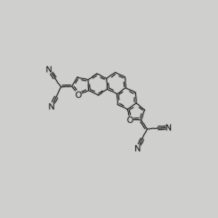 N#CC(C#N)=c1cc2cc3ccc4cc5cc(=C(C#N)C#N)oc5cc4c3cc2o1